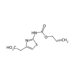 C=CCOC(=O)Nc1nc(CC(=O)O)cs1